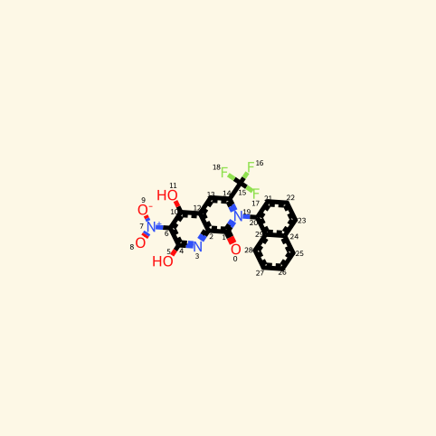 O=c1c2nc(O)c([N+](=O)[O-])c(O)c2cc(C(F)(F)F)n1-c1cccc2ccccc12